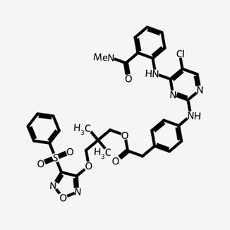 CNC(=O)c1ccccc1Nc1nc(Nc2ccc(CC(=O)OCC(C)(C)COc3nonc3S(=O)(=O)c3ccccc3)cc2)ncc1Cl